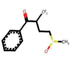 C[S+]([O-])CCC(C(=O)c1ccccc1)C(F)(F)F